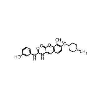 Cc1c(OC2CCN(C)CC2)ccc2cc(NC(=O)Nc3cccc(O)c3)c(=O)oc12